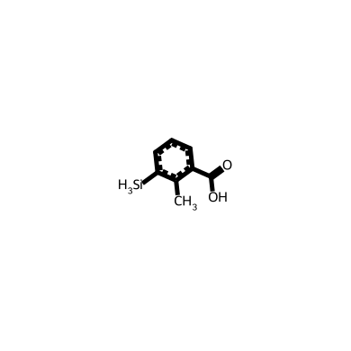 Cc1c([SiH3])cccc1C(=O)O